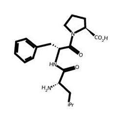 CC(C)C[C@H](N)C(=O)N[C@H](Cc1ccccc1)C(=O)N1CCC[C@H]1C(=O)O